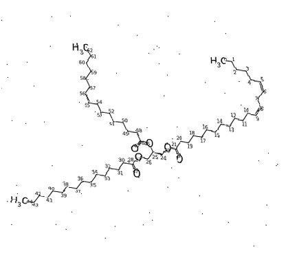 CCCCC/C=C\C/C=C\CCCCCCCCCCCC(=O)OC[C@@H](COC(=O)CCCCCCCCCCCCCCC)OC(=O)CCCCCCC/C=C\CCCCCC